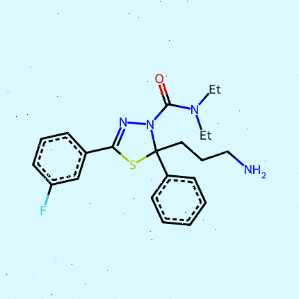 CCN(CC)C(=O)N1N=C(c2cccc(F)c2)SC1(CCCN)c1ccccc1